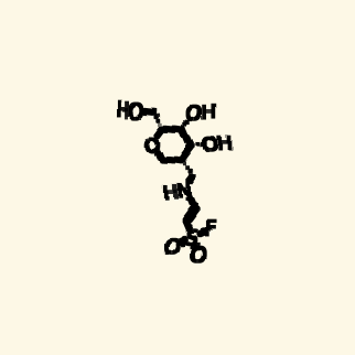 O=S(=O)(F)/C=C/NC[C@@H]1CO[C@H](CO)[C@H](O)[C@@H]1O